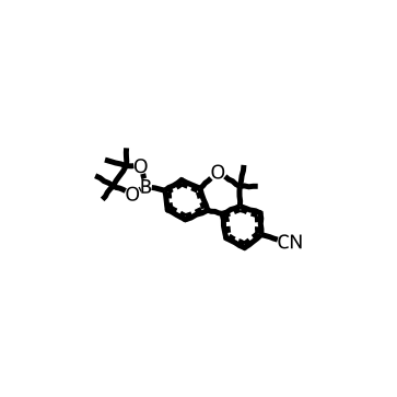 CC1(C)Oc2cc(B3OC(C)(C)C(C)(C)O3)ccc2-c2ccc(C#N)cc21